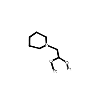 CCOC(CP1CCCCC1)OCC